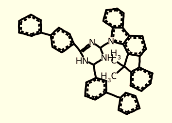 CC1(C)c2ccccc2-c2ccc3c4ccccc4n(C4N=C(c5ccc(-c6ccccc6)cc5)NC(c5cccc(-c6ccccc6)c5)N4)c3c21